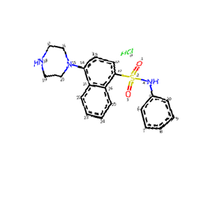 Cl.O=S(=O)(Nc1ccccc1)c1ccc(N2CCNCC2)c2ccccc12